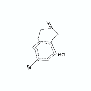 Brc1ccc2c(c1)CNC2.Cl